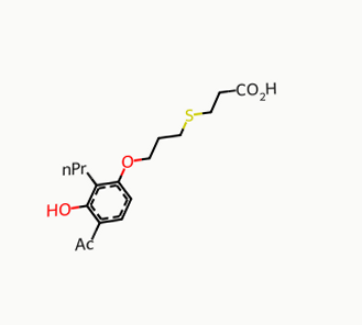 CCCc1c(OCCCSCCC(=O)O)ccc(C(C)=O)c1O